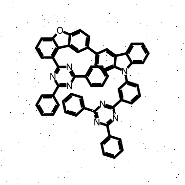 c1ccc(-c2nc(-c3ccccc3)nc(-c3cccc(-n4c5ccccc5c5cc(-c6ccc7oc8cccc(-c9nc(-c%10ccccc%10)nc(-c%10ccccc%10)n9)c8c7c6)ccc54)c3)n2)cc1